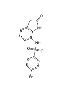 O=C1Cc2cccc(NS(=O)(=O)c3ccc(Br)cc3)c2N1